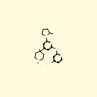 CC1CCCN1c1cc(C2(C#N)CCN(C)CC2)cc(Nc2cc(C#N)ccn2)n1